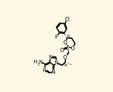 C[C@H](Cn1cnc2c(N)ncnc21)OC[P@]1(=O)OCC[C@@H](c2cc(Cl)ccc2F)O1